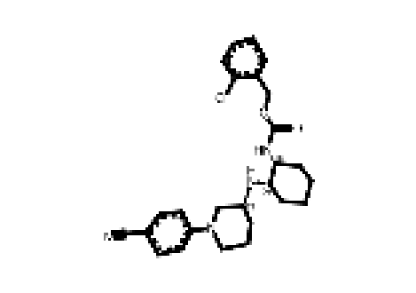 N#Cc1ccc(N2CCC[C@H](N[C@@H]3CCCC[C@H]3NC(=O)OCc3ccccc3Cl)C2)cc1